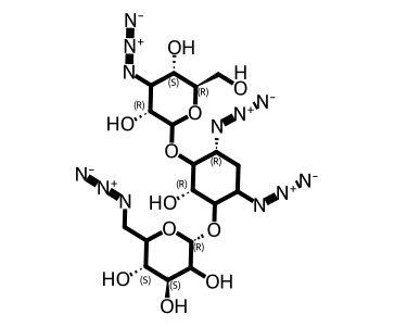 [N-]=[N+]=NCC1O[C@H](OC2C(N=[N+]=[N-])C[C@@H](N=[N+]=[N-])C(OC3O[C@H](CO)[C@@H](O)C(N=[N+]=[N-])[C@H]3O)[C@H]2O)C(O)[C@@H](O)[C@@H]1O